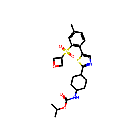 Cc1ccc(-c2cnc(C3CCC(NC(=O)OC(C)C)CC3)s2)c(S(=O)(=O)C2COC2)c1